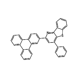 c1ccc(-c2cc(-c3ccc4c5ccccc5c5ccccc5c4c3)nc3c2sc2ccccc23)cc1